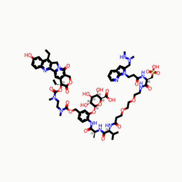 CCc1c2c(nc3ccc(O)cc13)-c1cc3c(c(=O)n1C2)COC(=O)[C@@]3(CC)OC(=O)N(C)CCN(C)C(=O)OCc1ccc(NC(=O)[C@H](C)NC(=O)[C@@H](NC(=O)CCOCCOCCNC(=O)[C@H](CS(=O)(=O)O)NC(=O)CCn2c(CN(C)NC)cc3cccnc32)C(C)C)c(O[C@@H]2O[C@H](C(=O)O)[C@@H](O)[C@H](O)[C@H]2O)c1